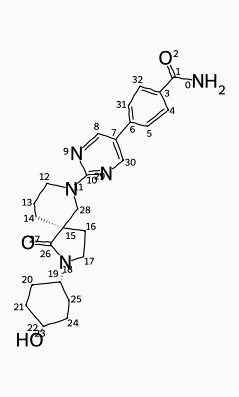 NC(=O)c1ccc(-c2cnc(N3CCC[C@@]4(CCN([C@H]5CC[C@@H](O)CC5)C4=O)C3)nc2)cc1